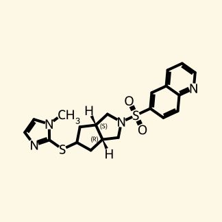 Cn1ccnc1SC1C[C@@H]2CN(S(=O)(=O)c3ccc4ncccc4c3)C[C@@H]2C1